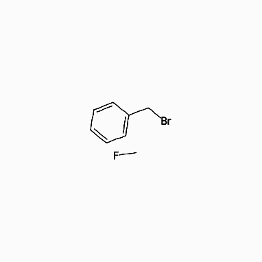 BrCc1ccccc1.CF